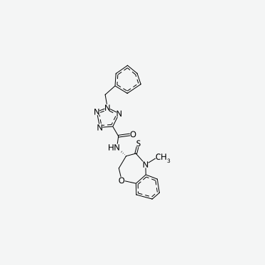 CN1C(=S)[C@@H](NC(=O)c2nnn(Cc3ccccc3)n2)COc2ccccc21